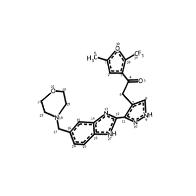 Cc1cc(C(=O)Cc2c[nH]nc2-c2nc3cc(CN4CCOCC4)ccc3[nH]2)c(C(F)(F)F)o1